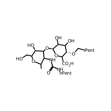 CCCCCNC(=O)NC1C(C)OC(CO)[C@@H](O)C1O[C@@H]1OC(C(=O)O)[C@@H](OCC(C)CCC)C(O)C1O